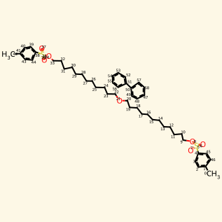 Cc1ccc(S(=O)(=O)OCCCCCCCCCCCCOCCCCCCCCCCCCOS(=O)(=O)c2ccc(C)cc2)cc1.c1ccc(-c2ccccc2)cc1